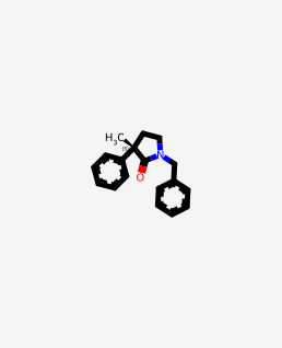 C[C@@]1(c2ccccc2)CCN(Cc2ccccc2)C1=O